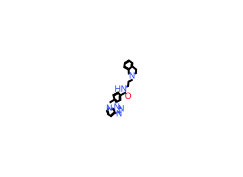 Cc1ccc(C(=O)NCCCN2CCc3ccccc3C2)cc1-n1nnc2cccnc21